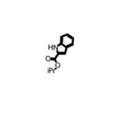 CC(C)OC(=O)c1cc2ccccc2[nH]1